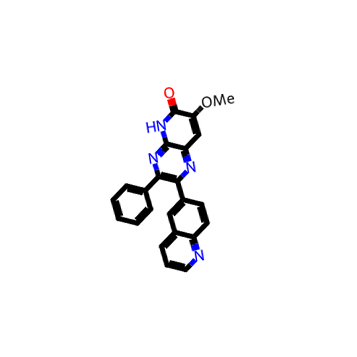 COc1cc2nc(-c3ccc4ncccc4c3)c(-c3ccccc3)nc2[nH]c1=O